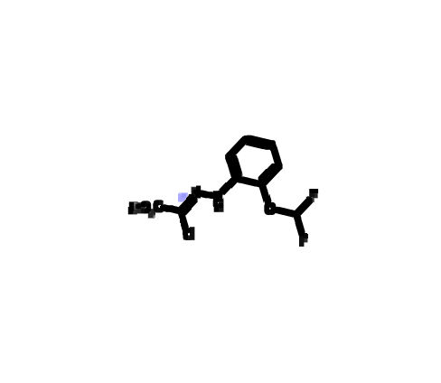 CCOC(=O)/C(Cl)=N/Nc1ccccc1OC(F)F